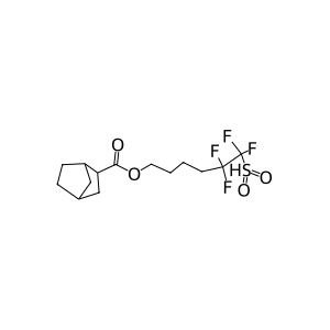 O=C(OCCCCC(F)(F)C(F)(F)[SH](=O)=O)C1CC2CCC1C2